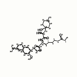 CCC(=O)CCCCC[C@H](NC(=O)C(=N)CC1(O)CCN(C)CC1)c1ncc(-c2cc3ccc(N(C)C)nc3cc2OC)o1